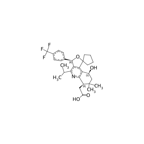 CC(C)c1nc2c(c3c1[C@@H](c1ccc(C(F)(F)F)cc1)OC31CCCC1)[C@@H](O)CC(C)(C)[C@H]2CC(=O)O